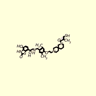 C/C(=C\S)C(=O)N1CCCC2(CCN(CCOc3cc(C)c(CNC[C@H](O)c4ccc(O)c5[nH]c(=O)sc45)cc3C)CC2)C1